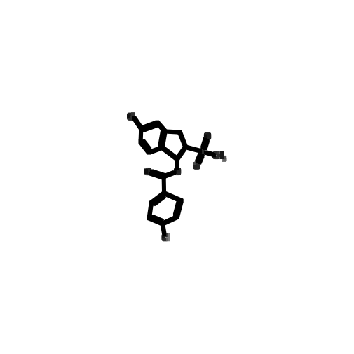 CS(=O)(=O)C1Cc2cc(Cl)ccc2C1OC(=O)c1ccc(Cl)cc1